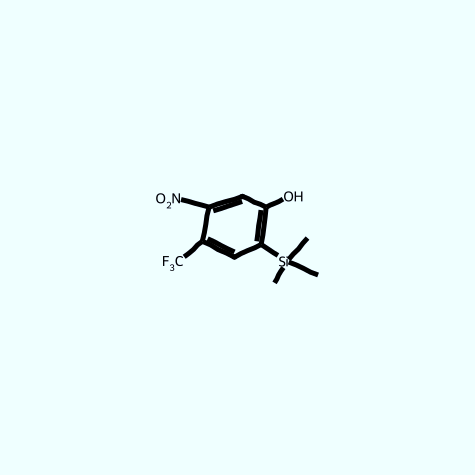 C[Si](C)(C)c1cc(C(F)(F)F)c([N+](=O)[O-])cc1O